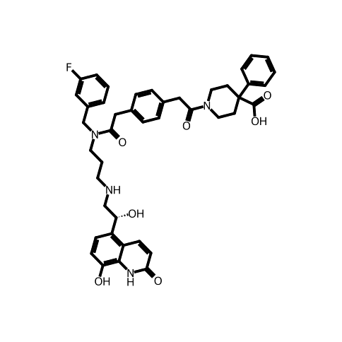 O=C(Cc1ccc(CC(=O)N(CCCNC[C@H](O)c2ccc(O)c3[nH]c(=O)ccc23)Cc2cccc(F)c2)cc1)N1CCC(C(=O)O)(c2ccccc2)CC1